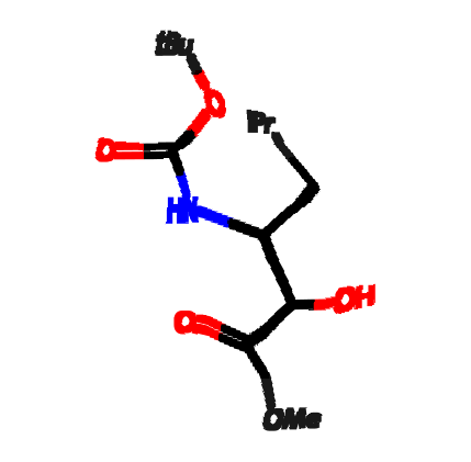 COC(=O)C(O)C(CC(C)C)NC(=O)OC(C)(C)C